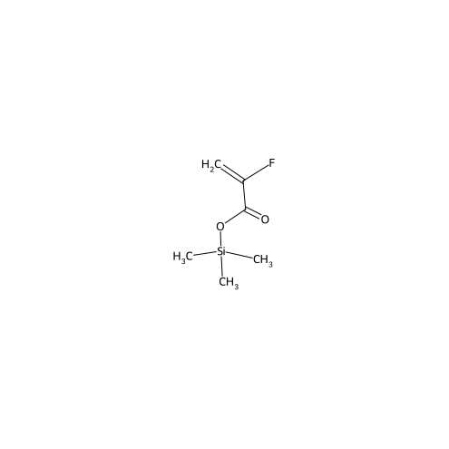 C=C(F)C(=O)O[Si](C)(C)C